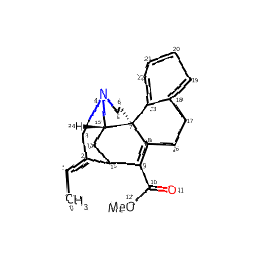 C/C=C1/CN2CC[C@]34C(=C(C(=O)OC)C1C[C@H]23)CCc1ccccc14